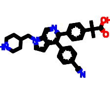 CC(C)(C(=O)O)c1ccc(-c2ncc3c(ccn3CC3CCNCC3)c2-c2ccc(C#N)cc2)cc1